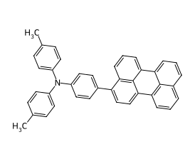 Cc1ccc(N(c2ccc(C)cc2)c2ccc(-c3ccc4c5cccc6cccc(c7cccc3c74)c65)cc2)cc1